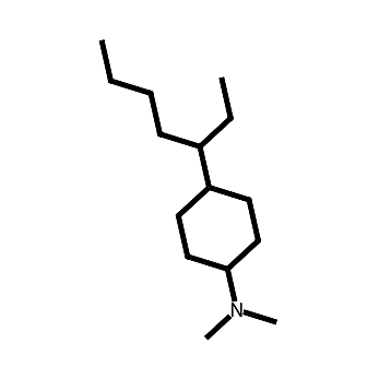 CCCCC(CC)C1CCC(N(C)C)CC1